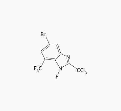 Fn1c(C(Cl)(Cl)Cl)nc2cc(Br)cc(C(F)(F)F)c21